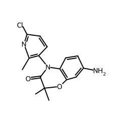 Cc1nc(Cl)ccc1N1C(=O)C(C)(C)Oc2cc(N)ccc21